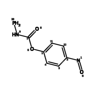 O=Nc1ccc(OC(=O)NP)cc1